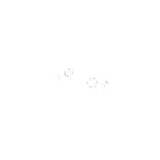 Nc1nc(COc2ccc([N+](=O)[O-])cc2Cl)cs1